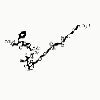 CC[C@H](C)[C@H](NC(=O)C(C(C)C)N(C)C(=O)CCOCCOCCNC(=O)C#CC(=O)NCCOCCOCCC(=O)O)C(=O)N(C)C(C[C@@H](OC(C)=O)c1nc(C(=O)N[C@@H](Cc2ccccc2)CC(C)C(=O)O)cs1)C(C)C